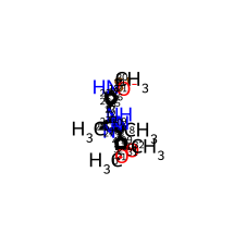 COc1ccc(-c2c(C)nn3c(NCc4ccc(N[S+](C)[O-])cc4)cc(C)nc23)cc1OC